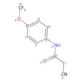 N#CCC(=O)Nc1ccc(OC(F)(F)F)cc1